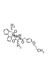 CCCCOc1ccc(CC(=O)N[C@@H](C)C(=O)NN2C(=O)[C@@H](C)c3ccccc3-c3ccccc32)cc1